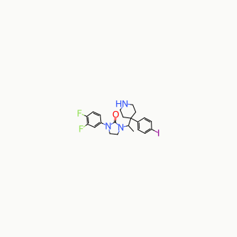 CC(N1CCN(c2ccc(F)c(F)c2)C1=O)C1(c2ccc(I)cc2)CCNCC1